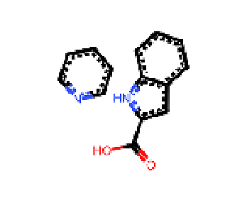 O=C(O)c1cc2ccccc2[nH]1.c1ccncc1